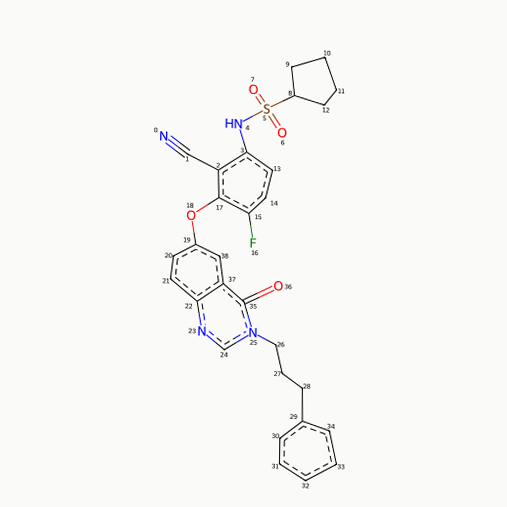 N#Cc1c(NS(=O)(=O)C2CCCC2)ccc(F)c1Oc1ccc2ncn(CCCc3ccccc3)c(=O)c2c1